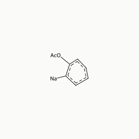 CC(=O)Oc1cccc[c]1[Na]